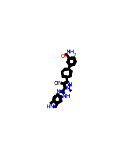 Cn1nc(C2=CCC=C(c3cccc(C(N)=O)c3)C=C2)c(N=O)c1-c1nc2cc3c(cc2[nH]1)CNC3